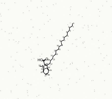 CCCCCCCCCCCCCCCCCCc1c(C(=O)O)n(C)c2ccccc12